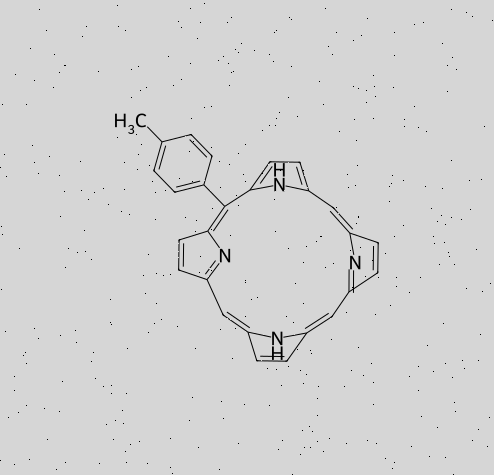 Cc1ccc(-c2c3nc(cc4ccc(cc5nc(cc6ccc2[nH]6)C=C5)[nH]4)C=C3)cc1